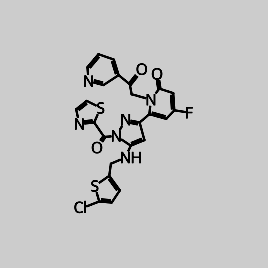 O=C(Cn1c(-c2cc(NCc3ccc(Cl)s3)n(C(=O)c3nccs3)n2)cc(F)cc1=O)c1cccnc1